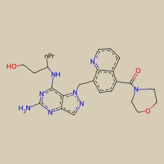 CCCC(CCO)Nc1nc(N)nc2cnn(Cc3ccc(C(=O)N4CCOCC4)c4cccnc34)c12